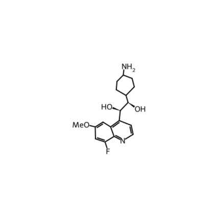 COc1cc(F)c2nccc([C@@H](O)[C@H](O)C3CCC(N)CC3)c2c1